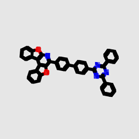 c1ccc(-c2nc(-c3ccccc3)nc(-c3ccc(-c4ccc(-c5nc6oc7ccccc7c6c6c5oc5ccccc56)cc4)cc3)n2)cc1